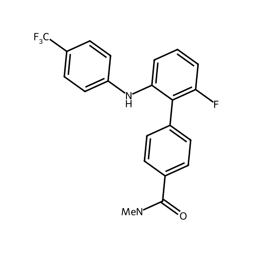 CNC(=O)c1ccc(-c2c(F)cccc2Nc2ccc(C(F)(F)F)cc2)cc1